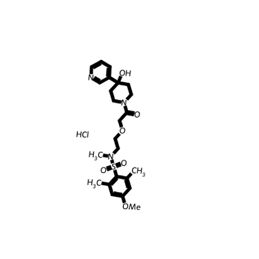 COc1cc(C)c(S(=O)(=O)N(C)CCOCC(=O)N2CCC(O)(c3cccnc3)CC2)c(C)c1.Cl